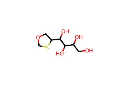 OCC(O)C(O)C(O)C1COCS1